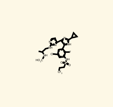 CC(CNc1nccc(-c2nc(C3CC3)[nH]c2-c2cc(Cl)cc(NS(=O)(=O)CCC(F)(F)F)c2F)n1)NC(=O)O